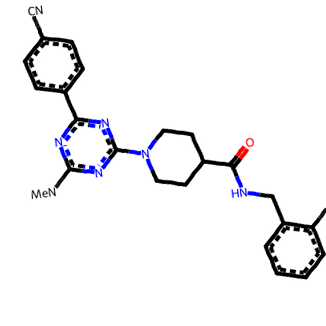 CNc1nc(-c2ccc(C#N)cc2)nc(N2CCC(C(=O)NCc3ccccc3C(F)(F)F)CC2)n1